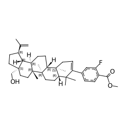 C=C(C)[C@@H]1CC[C@]2(CO)CC[C@]3(C)[C@H](CC[C@@H]4[C@@]5(C)CC=C(c6ccc(C(=O)OC)c(F)c6)C(C)(C)[C@@H]5CC[C@]43C)[C@@H]12